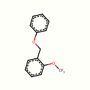 FC(F)(F)Oc1ccccc1COc1cc[c]cc1